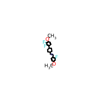 CCOc1ccc(C2CCC(/C=C/c3ccc(OC)cc3F)CC2)c(F)c1F